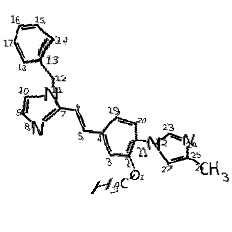 COc1cc(/C=C/c2nccn2Cc2ccccc2)ccc1-n1cnc(C)c1